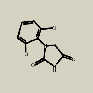 O=C1CN(c2c(Cl)cccc2Cl)C(=O)N1